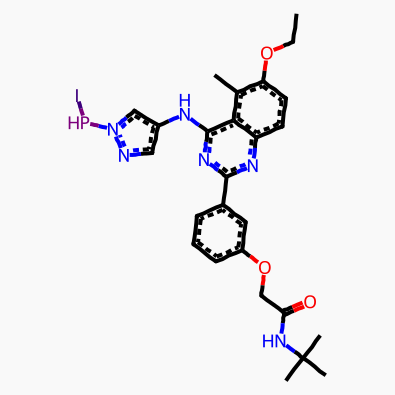 CCOc1ccc2nc(-c3cccc(OCC(=O)NC(C)(C)C)c3)nc(Nc3cnn(PI)c3)c2c1C